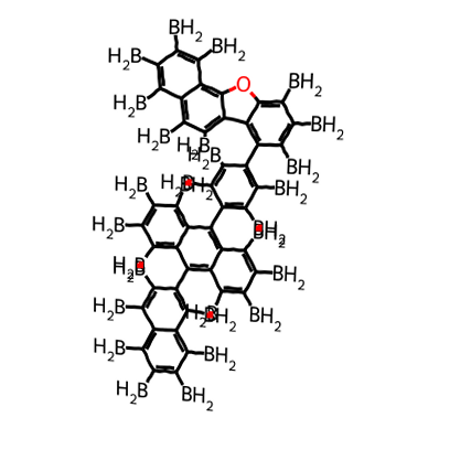 Bc1c(B)c(-c2c(B)c(B)c(B)c3oc4c5c(B)c(B)c(B)c(B)c5c(B)c(B)c4c23)c(B)c(B)c1-c1c2c(B)c(B)c(B)c(B)c2c(-c2c(B)c(B)c3c(B)c(B)c(B)c(B)c3c2B)c2c(B)c(B)c(B)c(B)c12